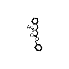 CC(=O)SC(CC(=O)OCc1ccccc1)Cc1ccccc1